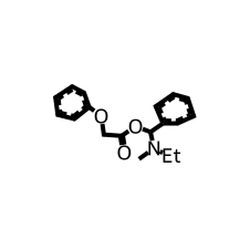 CCN(C)C(OC(=O)COc1ccccc1)c1ccccc1